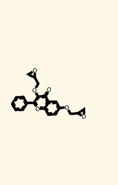 O=c1c(OCC2CO2)c(-c2ccccc2)oc2ccc(OCC3CO3)cc12